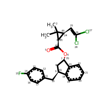 CC1(C)[C@H](C(=O)O[C@H]2C[C@H](Cc3ccc(F)cc3)c3ccccc32)[C@@H]1C=C(Cl)Cl